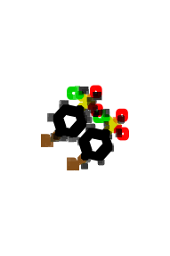 O=S(=O)(Cl)c1ccc(Br)cc1.O=S(=O)(Cl)c1ccc(Br)cc1